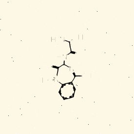 CC1=NC(NC(=O)[C@H](C)N)C(=O)N(C)c2ccccc21